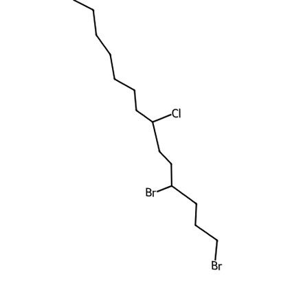 CCCCCCCC(Cl)CCC(Br)CCCBr